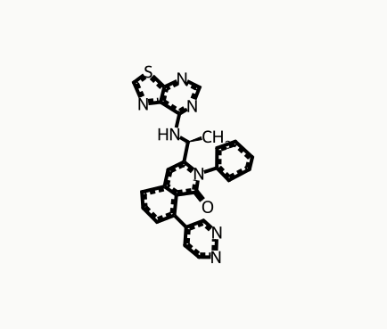 C[C@H](Nc1ncnc2scnc12)c1cc2cccc(-c3ccnnc3)c2c(=O)n1-c1ccccc1